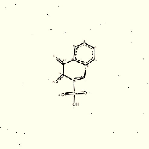 O=S(=O)(O)C1=Cc2ccccc2C(=S)C1=S